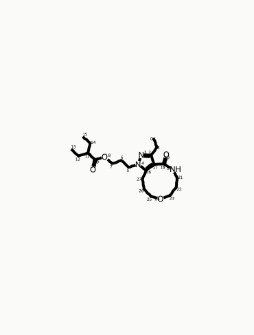 CCc1nn(CCCOC(=O)C(CC)CC)c2c1C(=O)NCCCOCCC2